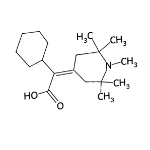 CN1C(C)(C)CC(=C(C(=O)O)C2CCCCC2)CC1(C)C